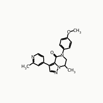 COc1ccc(N2CC(C)n3ncc(-c4ccnc(C)c4)c3C2=O)cc1